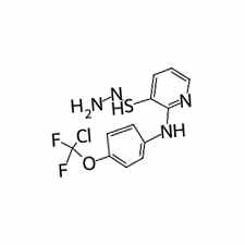 NNSc1cccnc1Nc1ccc(OC(F)(F)Cl)cc1